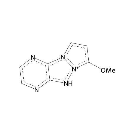 COc1ccn2c3nccnc3[nH][n+]12